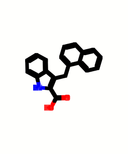 O=C(O)c1[nH]c2ccccc2c1Cc1cccc2ccccc12